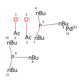 CC(=O)[O-].CC(=O)[O-].CCCCP(CCCC)CCCC.CCCCP(CCCC)CCCC.[Pd+2]